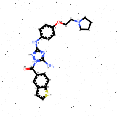 Nc1nc(Nc2ccc(OCCN3CCCC3)cc2)nn1C(=O)c1ccc2sccc2c1